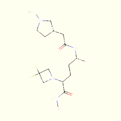 CC(C)NC(=O)C(CCC(C)NC(=O)CC1CCN(C)C1)N1CC(F)(F)C1